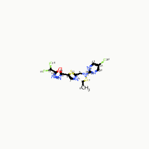 CCSN(Cc1ncc(-c2nnc(C(F)F)o2)s1)c1ncc(F)cn1